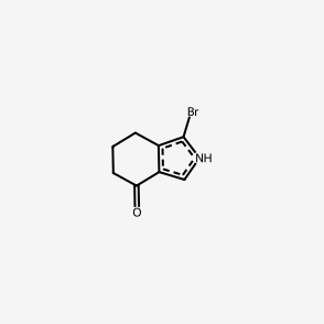 O=C1CCCc2c1c[nH]c2Br